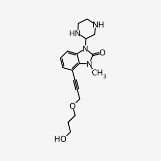 Cn1c(=O)n(C2CNCCN2)c2cccc(C#CCOCCCO)c21